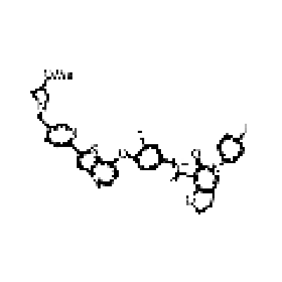 COC1CN(Cc2ccc(-c3cc4nccc(Oc5ccc(NC(=O)c6c7c(cn(-c8ccc(F)cc8)c6=O)CCO7)cc5F)c4s3)nc2)C1